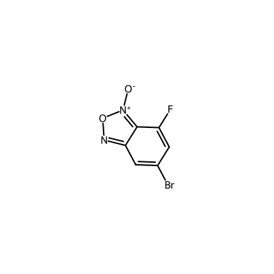 [O-][n+]1onc2cc(Br)cc(F)c21